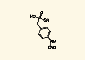 O=CNc1ccc(CP(=O)(O)O)cc1